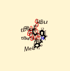 COc1ccc(CCn2ccc3cccc(O[C@@H]4O[C@H](COC(=O)C(C)(C)C)[C@@H](OC(=O)C(C)(C)C)[C@H](OC(=O)C(C)(C)C)[C@H]4OC(=O)C(C)(C)C)c32)cc1